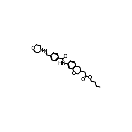 CCCCOC(=O)CC1COc2cc(NC(=O)c3ccc(C=NN4CCOCC4)cc3)ccc2C1